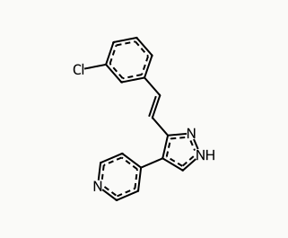 Clc1cccc(C=Cc2n[nH]cc2-c2ccncc2)c1